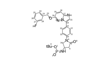 CC(C)(C)OC(=O)NC1CC(=O)N(c2ccc(-c3cnc4ccc(OCc5cccc(F)c5)nn34)cc2)C1